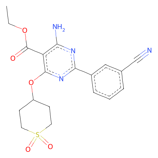 CCOC(=O)c1c(N)nc(-c2cccc(C#N)c2)nc1OC1CCS(=O)(=O)CC1